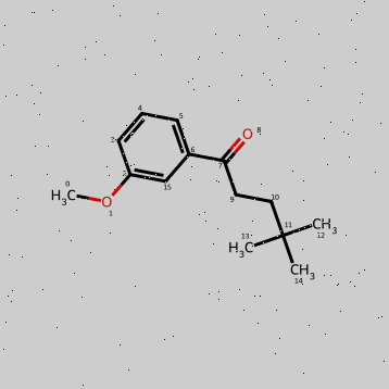 COc1cccc(C(=O)CCC(C)(C)C)c1